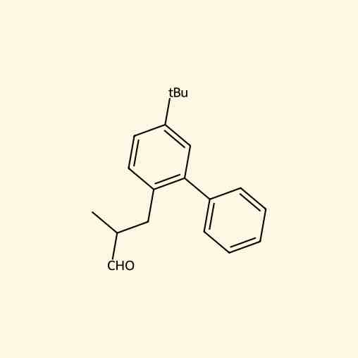 CC(C=O)Cc1ccc(C(C)(C)C)cc1-c1ccccc1